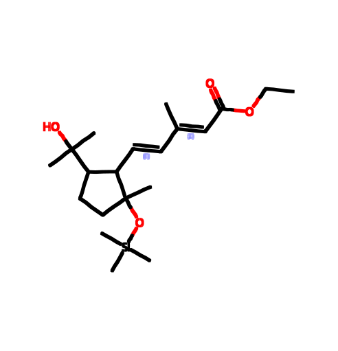 CCOC(=O)/C=C(C)/C=C/C1C(C(C)(C)O)CCC1(C)O[Si](C)(C)C